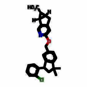 CC1(C)CC(c2ccccc2Cl)c2cc(COc3cc4c(cn3)[C@H]3[C@@H](C4)[C@@H]3C(=O)O)ccc21